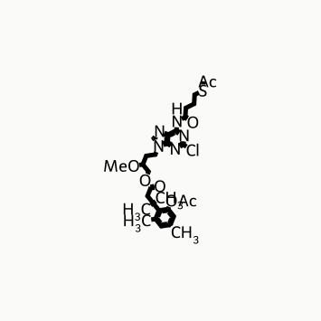 COC(CCn1cnc2c(NC(=O)CCCSC(C)=O)nc(Cl)nc21)COC(=O)CC(C)(C)c1c(C)cc(C)cc1OC(C)=O